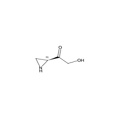 O=C(CO)[C@@H]1CN1